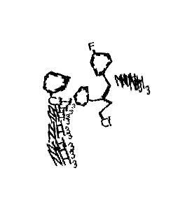 Cc1ccccc1.Fc1ccc(C=C(CCCl)c2ccccc2)cc1.N.N.N.N.N.N.N.N.N.N.N